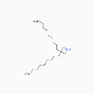 CCCCCCCCCCCCCCCCCCC1(CCCCCCCCCCCCCCCCCC)CNC1